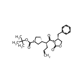 C=CC[C@H](C(=O)N1C(=O)OC[C@@H]1Cc1ccccc1)[C@H]1CCN(C(=O)OC(C)(C)C)C1